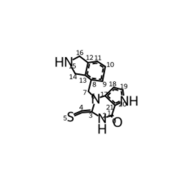 O=C1NC(=C=S)N(Cc2cccc3c2CNC3)c2cc[nH]c21